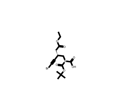 CCOC(=O)C[C@@H](C#CBr)CN(C(=O)O)C(=O)OC(C)(C)C